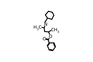 CC(CC(C)OC(=O)c1ccccc1)N=CC1CCCCC1